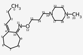 CCCC=C1CCCCCC1=NOCCCN1CCN(C)CC1